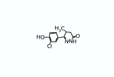 CC1CC(=O)NN=C1c1ccc(O)c(Cl)c1